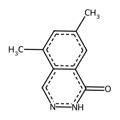 Cc1cc(C)c2cn[nH]c(=O)c2c1